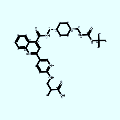 CC(CNc1ccc(-c2cc(C(=O)NC[C@H]3CC[C@H](CNC(=O)OC(C)(C)C)CC3)c3ccccc3n2)cn1)C(=O)O